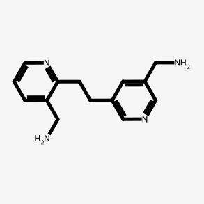 NCc1cncc(CCc2ncccc2CN)c1